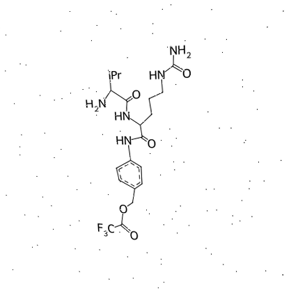 CC(C)C(N)C(=O)NC(CCCNC(N)=O)C(=O)Nc1ccc(COC(=O)C(F)(F)F)cc1